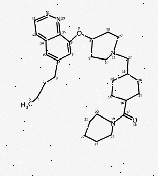 CCCCc1cc(OC2CCN(CC3CCC(C(=O)N4CCCCC4)CC3)CC2)c2ncccc2c1